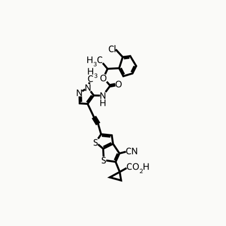 CC(OC(=O)Nc1c(C#Cc2cc3c(C#N)c(C4(C(=O)O)CC4)sc3s2)cnn1C)c1ccccc1Cl